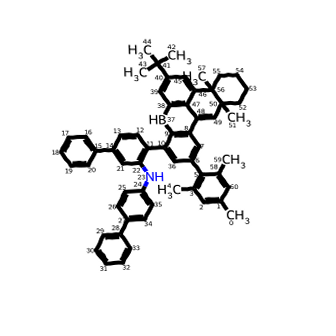 Cc1cc(C)c(-c2cc3c(c(-c4ccc(-c5ccccc5)cc4Nc4ccc(-c5ccccc5)cc4)c2)Bc2cc(C(C)(C)C)cc4c2C3=CC2(C)CCCCC42C)c(C)c1